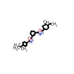 C=CC1=CC=C(c2nnc(-c3cccc(-c4nnc(-c5ccc(C(C)(C)C)cc5)o4)c3)o2)CC1C